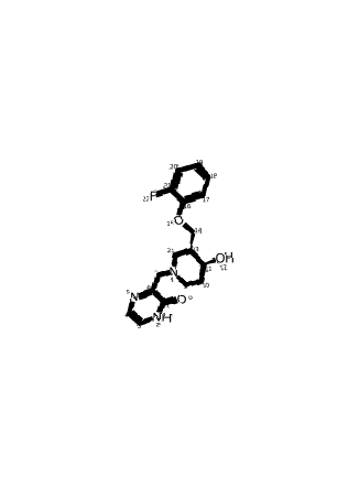 O=c1[nH]ccnc1CN1CC[C@H](O)[C@H](COc2ccccc2F)C1